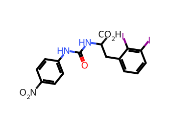 O=C(Nc1ccc([N+](=O)[O-])cc1)NC(Cc1cccc(I)c1I)C(=O)O